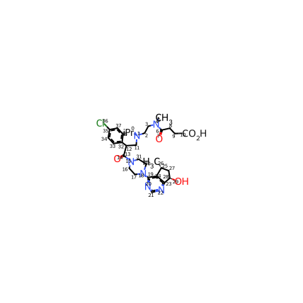 CC(C)N(CCN(C)C(=O)CCC(=O)O)CC(C(=O)N1CCN(c2ncnc3c2[C@H](C)C[C@H]3O)CC1)c1ccc(Cl)cc1